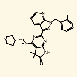 CC1(C)C(=O)Nc2nc(-c3nn(Cc4ccccc4F)c4ncccc34)nc(NC[C@@H]3CCOC3)c21